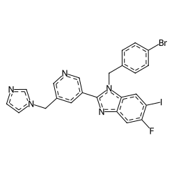 Fc1cc2nc(-c3cncc(Cn4ccnc4)c3)n(Cc3ccc(Br)cc3)c2cc1I